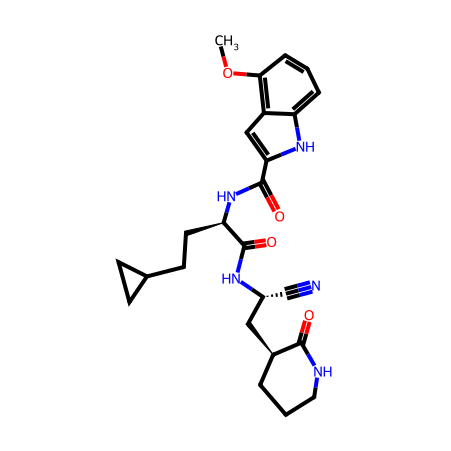 COc1cccc2[nH]c(C(=O)N[C@H](CCC3CC3)C(=O)N[C@H](C#N)C[C@@H]3CCCNC3=O)cc12